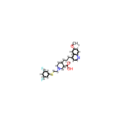 COc1ccc2nccc(CCC[C@@H]3CCN(CCSc4cc(F)cc(F)c4)C[C@@H]3C(=O)O)c2c1